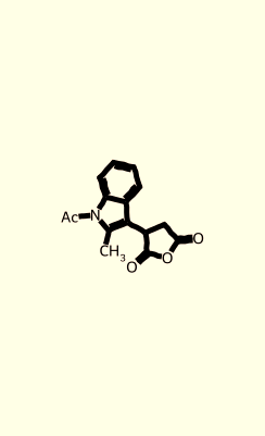 CC(=O)n1c(C)c(C2CC(=O)OC2=O)c2ccccc21